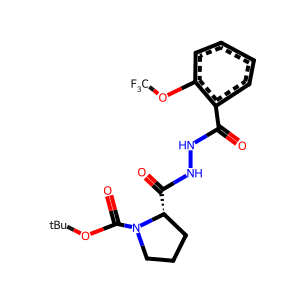 CC(C)(C)OC(=O)N1CCC[C@H]1C(=O)NNC(=O)c1ccccc1OC(F)(F)F